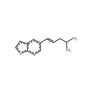 CC(C)C/C=C/c1cnc2sccc2c1